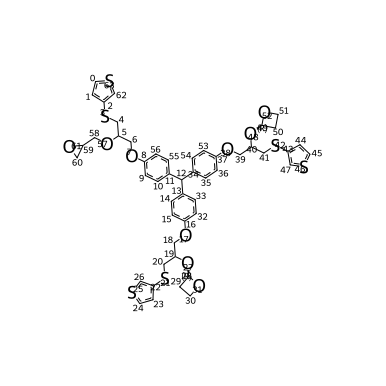 c1cc(SCC(COc2ccc(C(c3ccc(OCC(CSc4ccsc4)O[C@@H]4CCO4)cc3)c3ccc(OCC(CSc4ccsc4)O[C@@H]4CCO4)cc3)cc2)OCC2CO2)cs1